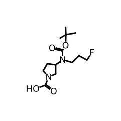 CC(C)(C)OC(=O)N(CCCF)C1CCN(C(=O)O)C1